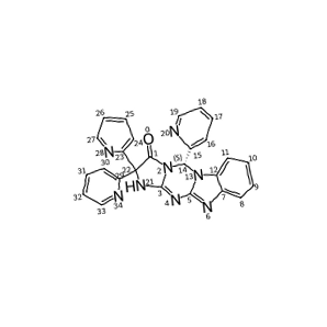 O=C1N2C(=Nc3nc4ccccc4n3[C@H]2c2ccccn2)NC1(c1ccccn1)c1ccccn1